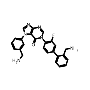 NCc1cccc(-n2cnc3ncn(-c4ccc(-c5ccccc5CN)cc4F)c(=O)c32)c1